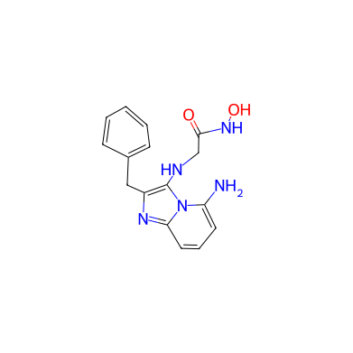 Nc1cccc2nc(Cc3ccccc3)c(NCC(=O)NO)n12